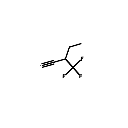 [C]#CC(CC)C(F)(F)F